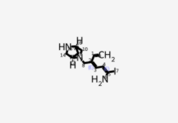 C=C/C(=C\C=C(/N)I)CN1C[C@H]2C[C@@H]1CN2